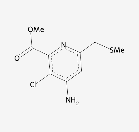 COC(=O)c1nc(CSC)cc(N)c1Cl